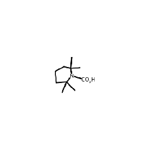 CC1(C)CCCC(C)(C)N1C(=O)O